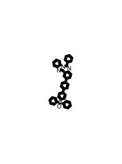 O=P(c1ccccc1)(c1ccccc1)c1ccc(-c2ccc(-c3ccc4nc(-c5ccccc5)n5c6ccccc6nc5c4c3)cc2)cc1